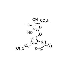 CC(C)(C)C(C=O)Nc1cc(COC=O)ccc1O[C@@H]1O[C@H](C(=O)O)[C@@H](O)[C@H](O)[C@H]1O